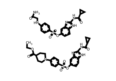 CCOC(=O)C1CCN(c2ccc(S(=O)(=O)Oc3ccc4[nH]c(NC(=O)C5CC5)nc4c3)cc2)CC1.NC(=O)CNc1ccc(S(=O)(=O)Oc2ccc3[nH]c(NC(=O)C4CC4)nc3c2)cc1